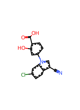 N#Cc1cn(-c2ccc(C(=O)O)c(O)c2)c2cc(Cl)ccc12